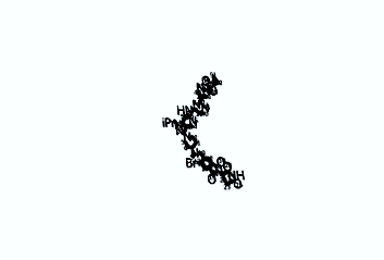 CC(C)n1nc(N2CCC(N(C)Cc3cc4c(cc3Br)C(=O)N(C3CCC(=O)NC3=O)C4=O)CC2)c2cnc(Nc3ccnc(-c4cnn(S(=O)(=O)C5CC5)c4)n3)cc21